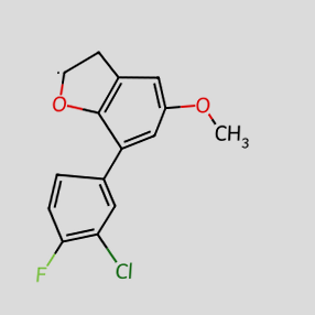 COc1cc2c(c(-c3ccc(F)c(Cl)c3)c1)O[CH]C2